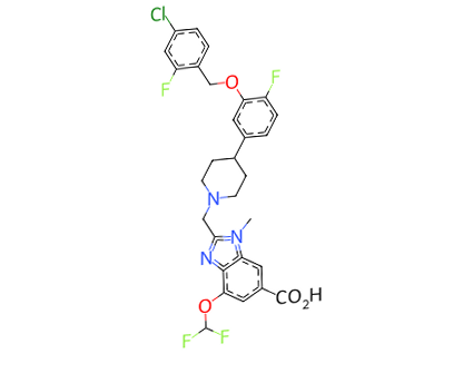 Cn1c(CN2CCC(c3ccc(F)c(OCc4ccc(Cl)cc4F)c3)CC2)nc2c(OC(F)F)cc(C(=O)O)cc21